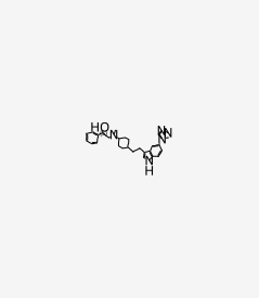 CN(C[C@@H](O)c1ccccc1)C1CCC(CCc2c[nH]c3ccc(-n4cnnc4)cc23)CC1